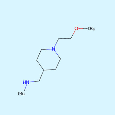 CC(C)(C)NCC1CCN(CCOC(C)(C)C)CC1